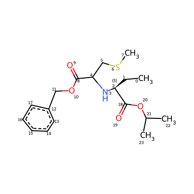 CC[C@H](NC(CSC)C(=O)OCc1ccccc1)C(=O)OC(C)C